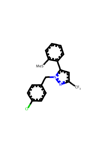 CSc1ccccc1-c1cc(C(F)(F)F)nn1Cc1ccc(Cl)cc1